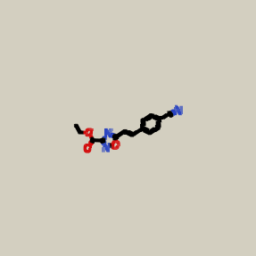 CCOC(=O)c1noc(/C=C/c2ccc(C#N)cc2)n1